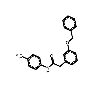 O=C(Cc1cccc(OCc2ccccc2)c1)Nc1ccc(C(F)(F)F)cc1